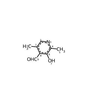 Cc1cnc(C)c(O)c1C=O